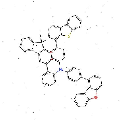 CC1(C)c2ccccc2-c2cc(-c3ccccc3N(c3ccc(-c4cccc5c4sc4ccccc45)cc3)c3ccc(-c4cccc5oc6ccccc6c45)cc3)ccc21